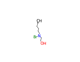 C#CCCCCN(Br)CCO